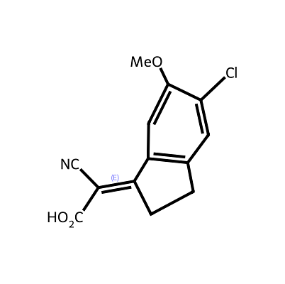 COc1cc2c(cc1Cl)CC/C2=C(/C#N)C(=O)O